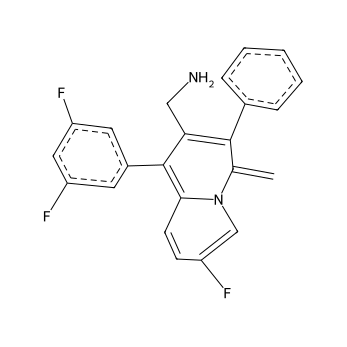 C=C1C(c2ccccc2)=C(CN)C(c2cc(F)cc(F)c2)=C2C=CC(F)=CN12